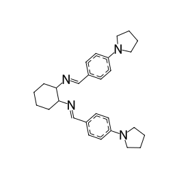 C(=N\C1CCCCC1/N=C/c1ccc(N2CCCC2)cc1)/c1ccc(N2CCCC2)cc1